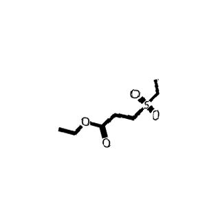 [CH2]CS(=O)(=O)CCC(=O)OCC